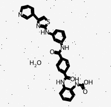 O.O=C(O)Nc1ccccc1NC(=O)c1ccc(C(=O)Nc2cccc(Nc3nc(-c4cccnc4)cs3)c2)cc1